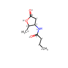 CCCC(=O)NC1CC(=O)OC1C